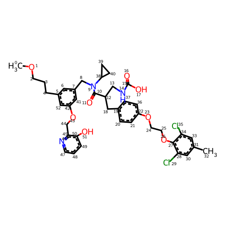 COCCCc1cc(CN(C(=O)C(CNC(=O)O)Cc2ccc(OCCOc3c(Cl)cc(C)cc3Cl)cc2)C2CC2)cc(OCc2ncccc2O)c1